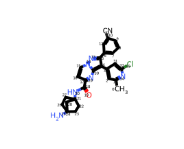 Cc1cc(-c2c(-c3cccc(C#N)c3)nn3ccc(C(=O)NC45CCC(N)(CC4)C5)nc23)cc(Cl)n1